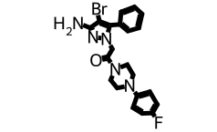 Nc1nn(CC(=O)N2CCN(c3ccc(F)cc3)CC2)c(-c2ccccc2)c1Br